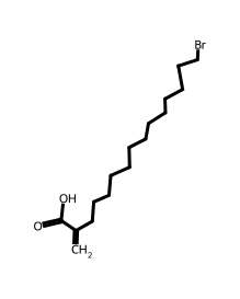 C=C(CCCCCCCCCCCCCBr)C(=O)O